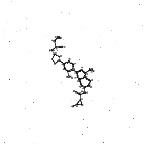 Cc1cc(N2CC[C@H](NC(=O)OC(C)(C)C)C2)ncc1-c1cc2cc(NC(=O)C3CC3F)ncc2c(N)n1